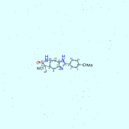 COc1ccc(-c2nc3cc4c(cc3[nH]2)NC(=O)C4(C)C#N)cc1